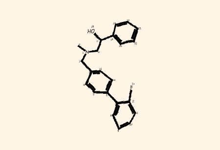 CN(Cc1ccc(-c2ccccc2F)cc1)CC(O)c1ccccc1